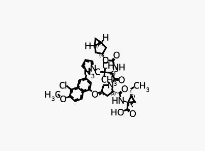 CC[C@@H]1C[C@]1(NC(=O)[C@@H]1C[C@@H](Oc2cc(-n3cccn3)cc3c(Cl)c(OC)ccc23)CN1C(=O)[C@@H](NC(=O)O[C@@H]1C[C@@H]2C[C@@H]2C1)C(C)(C)C)C(=O)O